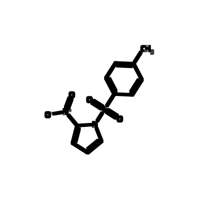 Cc1ccc(S(=O)(=O)n2cccc2[N+](=O)[O-])cc1